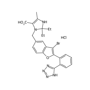 CCC1(CC)NC(C)=C(C(=O)O)N1Cc1ccc2oc(-c3ccccc3-c3nnn[nH]3)c(Br)c2c1.Cl